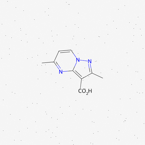 Cc1ccn2nc(C)c(C(=O)O)c2n1